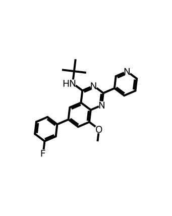 COc1cc(-c2cccc(F)c2)cc2c(NC(C)(C)C)nc(-c3cccnc3)nc12